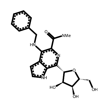 CNC(=O)c1nc([C@@H]2O[C@H](CO)[C@@H](O)[C@H]2O)c2[nH]ccc2c1NCc1ccccc1